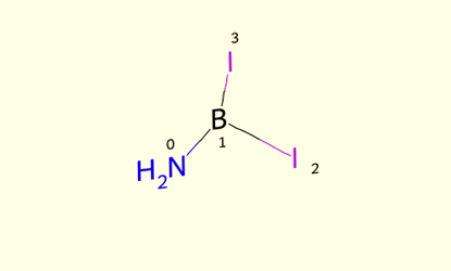 NB(I)I